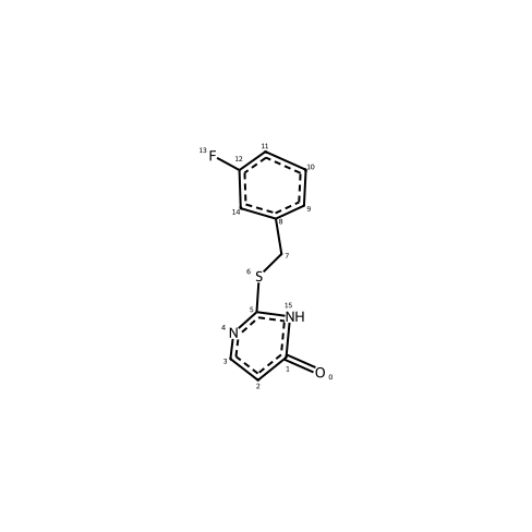 O=c1ccnc(SCc2cccc(F)c2)[nH]1